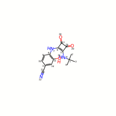 CC(C)(C)Nc1c(Nc2ccc(C#N)cc2O)c(=O)c1=O